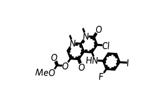 COC(=O)Oc1cn(C)c2c(c(Nc3ccc(I)cc3F)c(Cl)c(=O)n2C)c1=O